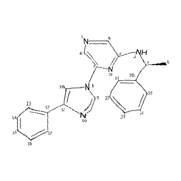 C[C@H](Nc1cncc(-n2cnc(-c3ccccc3)c2)n1)c1ccccc1